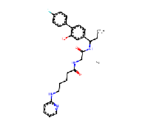 O=C(O)CC(NC(=O)CNC(=O)CCCCNc1ccccn1)c1ccc(-c2ccc(F)cc2)c(O)c1.[Na]